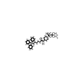 CC(C)(C)OC(=O)N1CCC(NC(=O)CCCCC[P+](c2ccccc2)(c2ccccc2)c2ccccc2)CC1